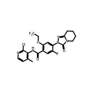 Cc1ccnc(Cl)c1NC(=O)c1cc(F)c(-n2nc3n(c2=O)CCCC3)cc1OCC(F)(F)F